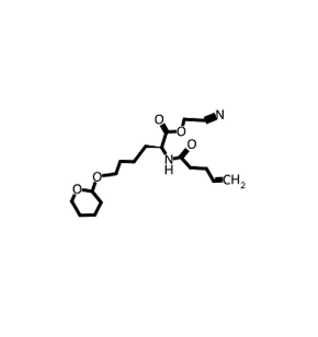 C=CCCC(=O)N[C@@H](CCCCOC1CCCCO1)C(=O)OCC#N